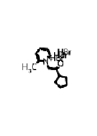 Br.Br.Br.Cc1cccc[n+]1CC(=O)C1CCCC1